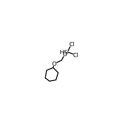 Cl[SiH](Cl)OCOC1CCCCC1